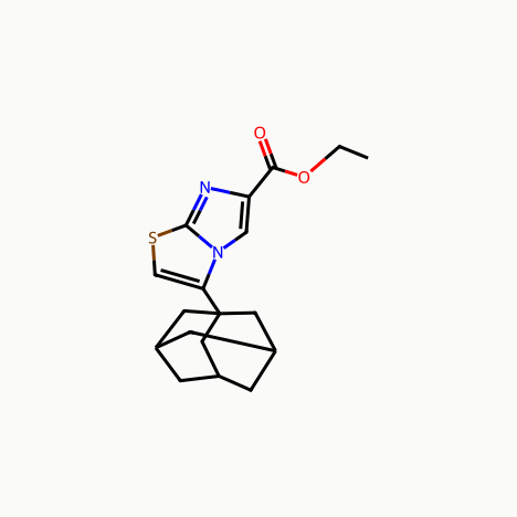 CCOC(=O)c1cn2c(C34CC5CC(CC(C5)C3)C4)csc2n1